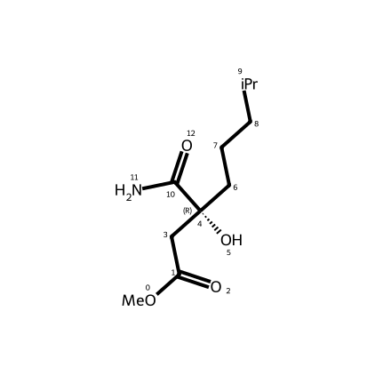 COC(=O)C[C@](O)(CCCC(C)C)C(N)=O